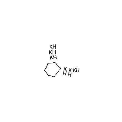 C1CCCCC1.[KH].[KH].[KH].[KH].[KH].[KH]